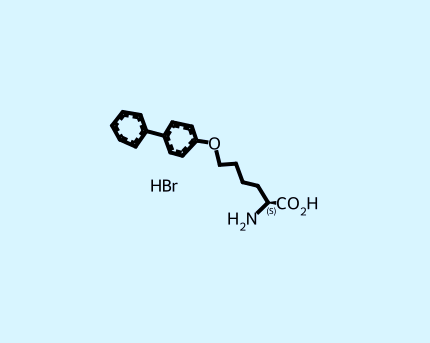 Br.N[C@@H](CCCCOc1ccc(-c2ccccc2)cc1)C(=O)O